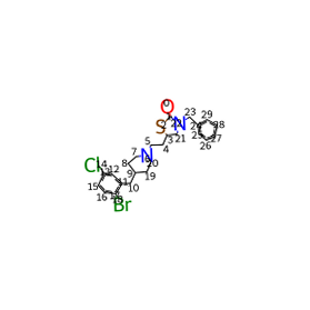 O=C1SC(CCN2CCC(Cc3cc(Cl)ccc3Br)CC2)CN1Cc1ccccc1